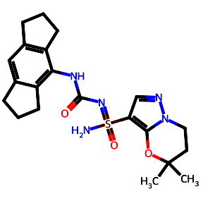 CC1(C)CCn2ncc(S(N)(=O)=NC(=O)Nc3c4c(cc5c3CCC5)CCC4)c2O1